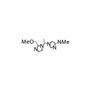 CNc1cn([C](C)n2ccnc2COC)cn1